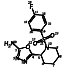 Nc1nnc([C@@H]2CCCCN2S(=O)(=O)c2ccc(F)cc2)o1